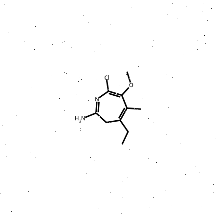 CCC1=C(C)C(OC)=C(Cl)N=C(N)C1